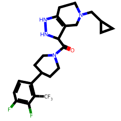 O=C(C1NNC2=C1CN(CC1CC1)CC2)N1CCC(c2ccc(F)c(F)c2C(F)(F)F)CC1